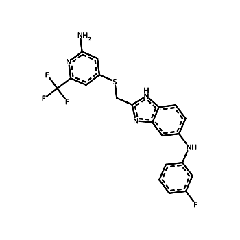 Nc1cc(SCc2nc3cc(Nc4cccc(F)c4)ccc3[nH]2)cc(C(F)(F)F)n1